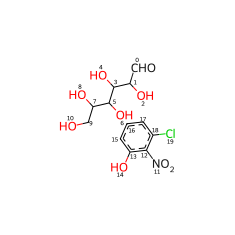 O=CC(O)C(O)C(O)C(O)CO.O=[N+]([O-])c1c(O)cccc1Cl